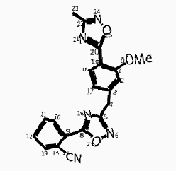 COc1cc(Cc2noc(-c3ccccc3C#N)n2)ccc1-c1nc(C)no1